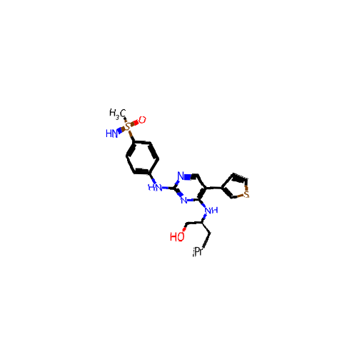 CC(C)C[C@@H](CO)Nc1nc(Nc2ccc(S(C)(=N)=O)cc2)ncc1-c1ccsc1